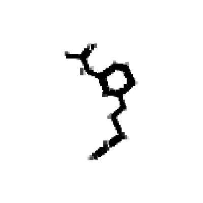 CC(=O)Nc1cccc(CCN=[N+]=[N-])c1